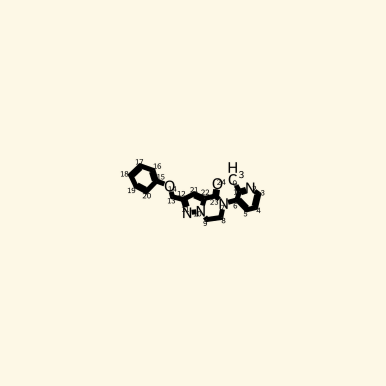 Cc1ncccc1N1CCn2nc(COc3ccccc3)cc2C1=O